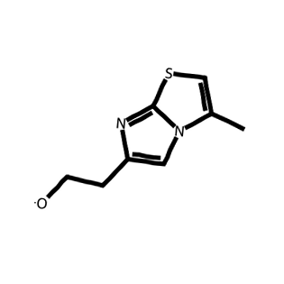 Cc1csc2nc(CC[O])cn12